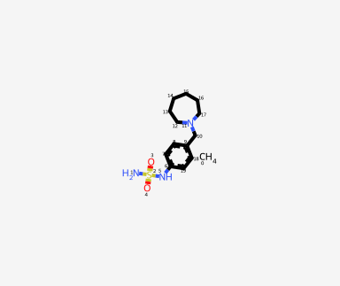 C.NS(=O)(=O)Nc1ccc(CN2CCCCCC2)cc1